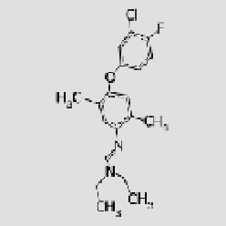 CCN(C=Nc1cc(C)c(Oc2ccc(F)c(Cl)c2)cc1C)CC